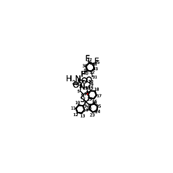 NS(=O)(=O)N1C[C@H](SC(c2ccccc2)(c2ccccc2)c2ccccc2)C[C@H]1COCc1cc(F)c(F)cc1F